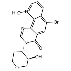 C[n+]1cccc2c(Br)cc3c(=O)n([C@H]4CCOC[C@@H]4O)cnc3c21